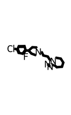 Fc1cc(Cl)ccc1C1CCN(CCCc2nnc3n2CCCCC3)CC1